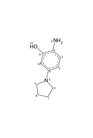 Nc1ccc(N2CCCC2)cc1O